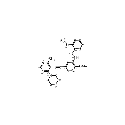 COc1ncc(C#Cc2c(C)ncnc2N2CCOCC2)cc1NSc1ccccc1OC(F)(F)F